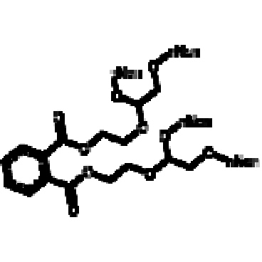 CCCCCCCCCOCC(OCCCCCCCCC)OCCOC(=O)c1ccccc1C(=O)OCCOC(COCCCCCCCCC)OCCCCCCCCC